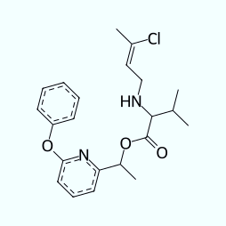 CC(Cl)=CCNC(C(=O)OC(C)c1cccc(Oc2ccccc2)n1)C(C)C